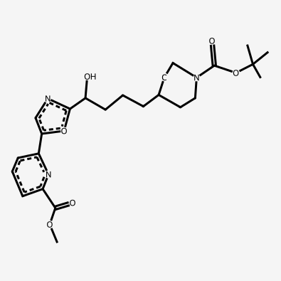 COC(=O)c1cccc(-c2cnc(C(O)CCCC3CCN(C(=O)OC(C)(C)C)CC3)o2)n1